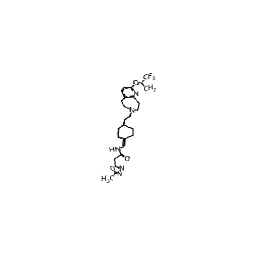 Cc1nnc(CC(=O)NC=C2CCC(CCN3CCc4ccc(O[C@H](C)C(F)(F)F)nc4CC3)CC2)o1